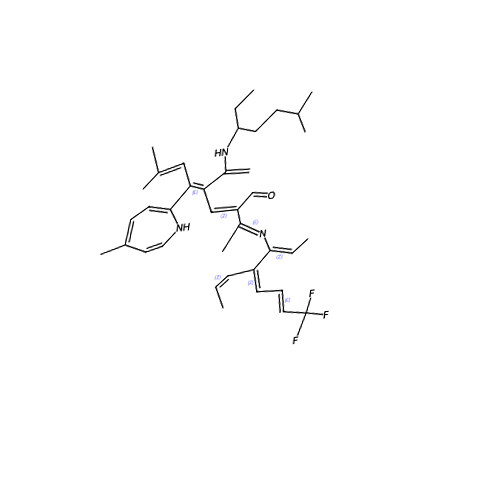 C=C(NC(CC)CCC(C)C)C(/C=C(C=O)/C(C)=N/C(=C\C)C(/C=C\C)=C\C=C\C(F)(F)F)=C(\C=C(C)C)C1=CC=C(C)C=CN1